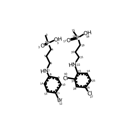 CP(=O)(O)CCCNc1ccc(Br)cc1.CP(=O)(O)CCCNc1ccc(Cl)cc1Cl